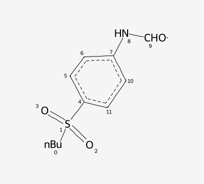 CCCCS(=O)(=O)c1ccc(N[C]=O)cc1